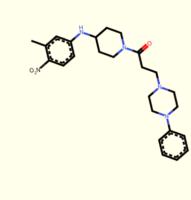 Cc1cc(NC2CCN(C(=O)CCN3CCN(c4ccccc4)CC3)CC2)ccc1[N+](=O)[O-]